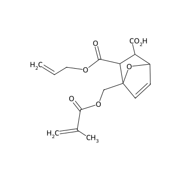 C=CCOC(=O)C1C(C(=O)O)C2C=CC1(COC(=O)C(=C)C)O2